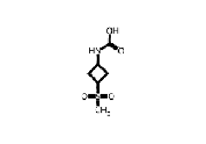 CS(=O)(=O)C1CC(NC(=O)O)C1